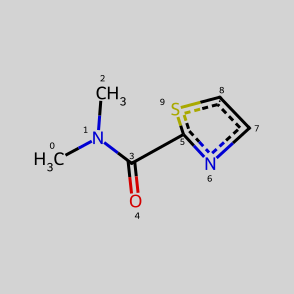 CN(C)C(=O)c1nc[c]s1